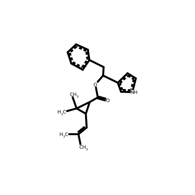 CC(C)=CC1C(C(=O)OC(Cc2ccccc2)c2cc[nH]c2)C1(C)C